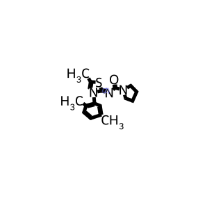 Cc1ccc(C)c(-n2cc(C)s/c2=N\C(=O)N2CCCC2)c1